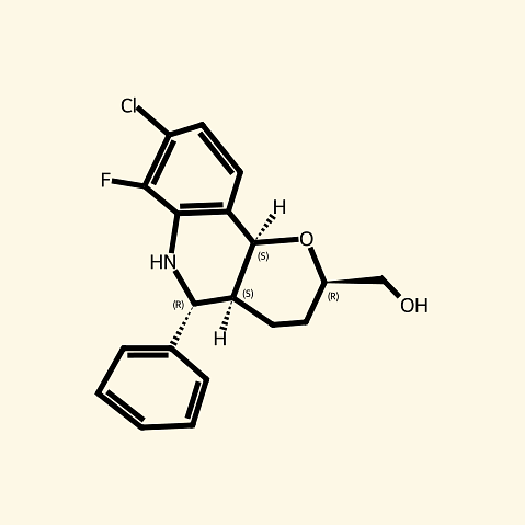 OC[C@H]1CC[C@@H]2[C@H](O1)c1ccc(Cl)c(F)c1N[C@H]2c1ccccc1